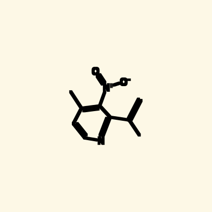 C=C(C)c1nccc(C)c1[N+](=O)[O-]